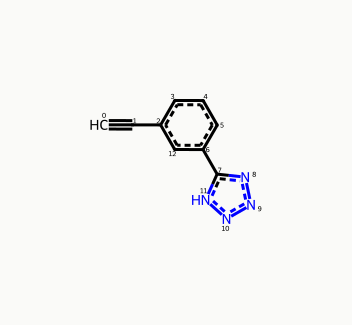 C#Cc1cccc(-c2nnn[nH]2)c1